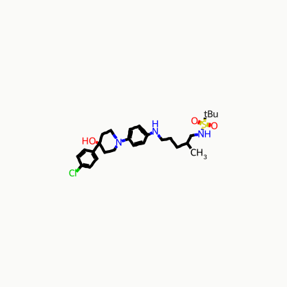 CC(CCCNc1ccc(N2CCC(O)(c3ccc(Cl)cc3)CC2)cc1)CNS(=O)(=O)C(C)(C)C